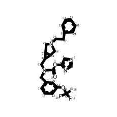 O=C(Oc1cscn1)N(Cc1cccc(OC(F)(F)F)c1)CC1C2CN(CCc3ccccc3)CC21